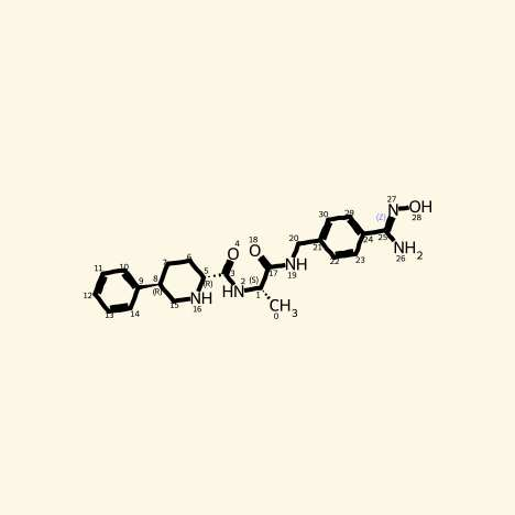 C[C@H](NC(=O)[C@H]1CC[C@H](c2ccccc2)CN1)C(=O)NCc1ccc(/C(N)=N/O)cc1